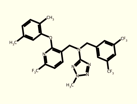 Cc1ccc(C)c(Oc2nc(C(F)(F)F)ccc2CN(Cc2cc(C(F)(F)F)cc(C(F)(F)F)c2)c2nnn(C)n2)c1